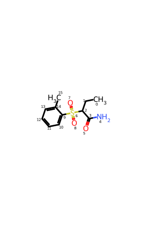 CCC(C(N)=O)S(=O)(=O)c1ccccc1C